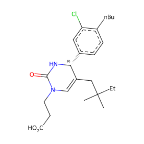 CCCCc1ccc([C@H]2NC(=O)N(CCC(=O)O)C=C2CC(C)(C)CC)cc1Cl